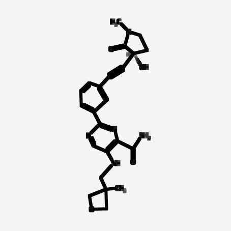 CN1CC[C@@](O)(C#Cc2cccc(-c3ncc(NCC4(C)COC4)c(C(N)=O)n3)c2)C1=O